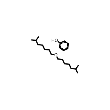 CC(C)CCCCCOCCCCCC(C)C.Oc1ccccc1